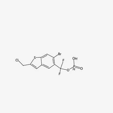 O=[PH](O)OC(F)(F)c1cc2cc(CCl)sc2cc1Br